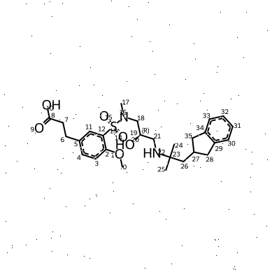 COc1ccc(CCC(=O)O)cc1S(=O)(=O)N(C)C[C@H](O)CNC(C)(C)CC1Cc2ccccc2C1